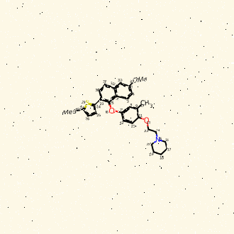 COc1ccc2c(OC3=CC(C)C(OCCN4CCCCC4)C=C3)c(-c3ccc(SC)s3)ccc2c1